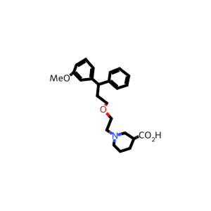 COc1cccc(C(CCOCCN2CCCC(C(=O)O)C2)c2ccccc2)c1